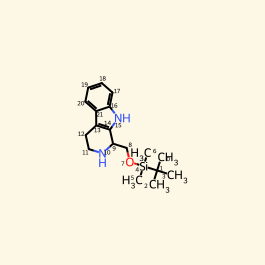 CC(C)(C)[Si](C)(C)OCC1NCCc2c1[nH]c1ccccc21